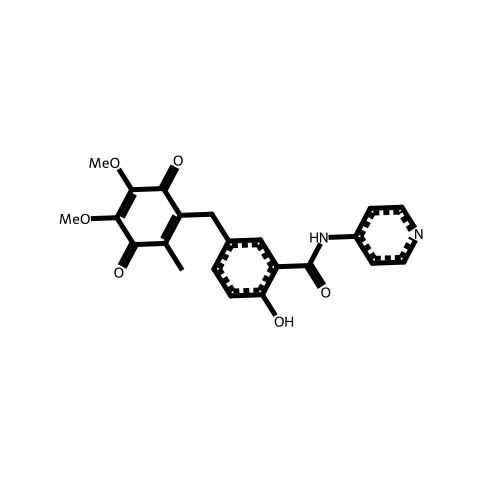 COC1=C(OC)C(=O)C(Cc2ccc(O)c(C(=O)Nc3ccncc3)c2)=C(C)C1=O